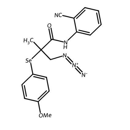 COc1ccc([Se]C(C)(CN=[N+]=[N-])C(=O)Nc2ccccc2C#N)cc1